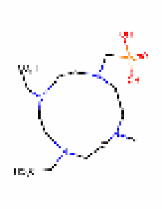 CN1CCN(CC(=O)O)CCN(CC(=O)O)CCN(CP(=O)(O)O)CC1